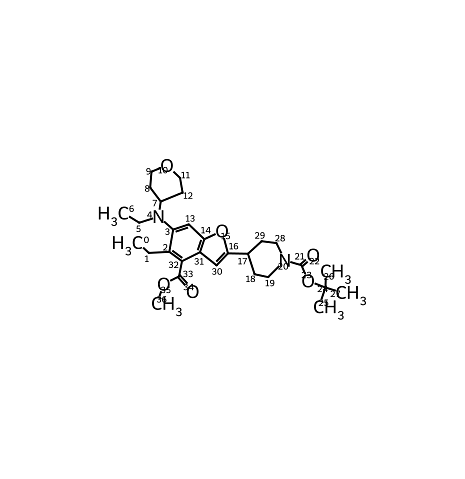 CCc1c(N(CC)C2CCOCC2)cc2oc(C3CCN(C(=O)OC(C)(C)C)CC3)cc2c1C(=O)OC